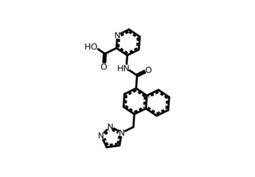 O=C(O)c1ncccc1NC(=O)c1ccc(Cn2ccnn2)c2ccccc12